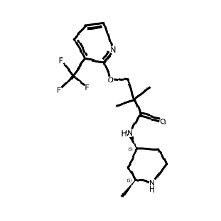 C[C@H]1C[C@@H](NC(=O)C(C)(C)COc2ncccc2C(F)(F)F)CCN1